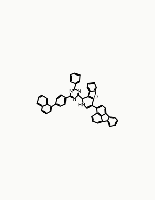 C1=C(c2ccc3c4c(cccc24)-c2ccccc2-3)c2oc3ccccc3c2C(c2nc(-c3ccccc3)nc(-c3ccc(-c4cccc5ccccc45)cc3)n2)N1